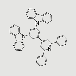 c1ccc(-c2cc(-c3cc(-n4c5ccccc5c5ccccc54)cc(-n4c5ccccc5c5ccccc54)c3)cc(-c3ccccc3)n2)cc1